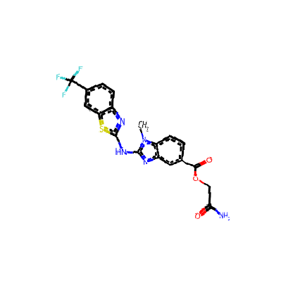 Cn1c(Nc2nc3ccc(C(F)(F)F)cc3s2)nc2cc(C(=O)OCC(N)=O)ccc21